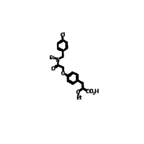 CCOC(Cc1ccc(OCC(=O)N(CC)Cc2ccc(Cl)cc2)cc1)C(=O)O